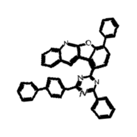 c1ccc(-c2ccc(-c3nc(-c4ccccc4)nc(-c4ccc(-c5ccccc5)c5oc6nc7ccccc7cc6c45)n3)cc2)cc1